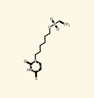 C=CS(=O)(=O)OCCCCCCn1ccc(=S)[nH]c1=O